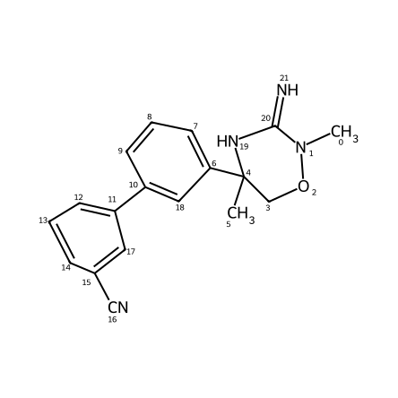 CN1OCC(C)(c2cccc(-c3cccc(C#N)c3)c2)NC1=N